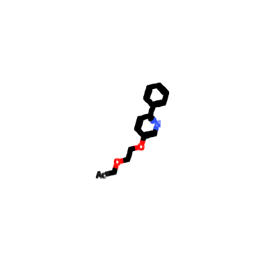 CC(=O)COCCOc1ccc(-c2ccccc2)nc1